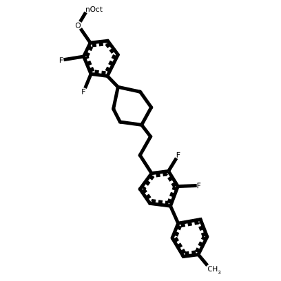 CCCCCCCCOc1ccc(C2CCC(CCc3ccc(-c4ccc(C)cc4)c(F)c3F)CC2)c(F)c1F